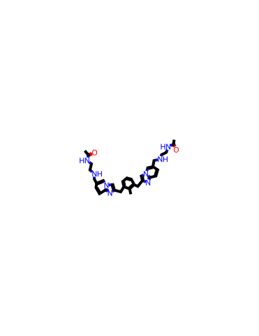 CC(=O)NCCNCc1ccc2nc(Cc3cccc(Cc4cn5cc(CNCCNC(C)=O)ccc5n4)c3C)cn2c1